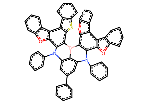 c1ccc(-c2cc3c4c(c2)N(c2ccccc2)c2c(c5sc6ccccc6c5c5c2oc2ccccc25)B4c2c(c4oc5ccccc5c4c4c2oc2ccccc24)N3c2ccccc2)cc1